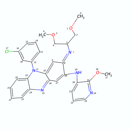 COCC(COC)/N=c1\cc2n(-c3cccc(Cl)c3)c3ccccc3nc-2cc1Nc1cccnc1OC